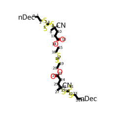 CCCCCCCCCCCCSC(=S)S[C@@](C)(C#N)CCC(=O)OCCSSCCOC(=O)CC[C@@](C)(C#N)SC(=S)SCCCCCCCCCCCC